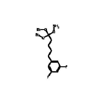 CCOC(CCCCc1cc(F)cc(F)c1)(O[SiH3])OCC